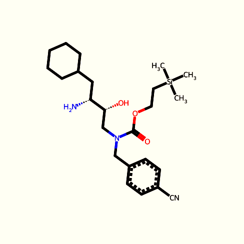 C[Si](C)(C)CCOC(=O)N(Cc1ccc(C#N)cc1)C[C@@H](O)[C@H](N)CC1CCCCC1